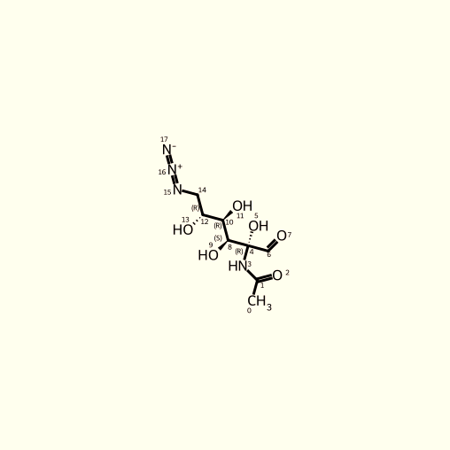 CC(=O)N[C@](O)(C=O)[C@@H](O)[C@H](O)[C@H](O)CN=[N+]=[N-]